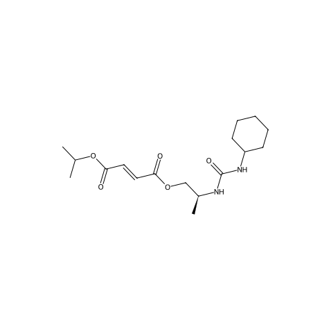 CC(C)OC(=O)/C=C/C(=O)OC[C@H](C)NC(=O)NC1CCCCC1